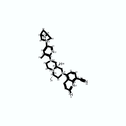 [2H]c1ccc2c(N3C[C@@H]4CN(c5ncc(N6CC7CC(C6)N7)cc5C)CCN4[C@@H](C)C3)ccc(C#N)c2n1